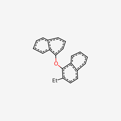 CCc1ccc2ccccc2c1Oc1cccc2ccccc12